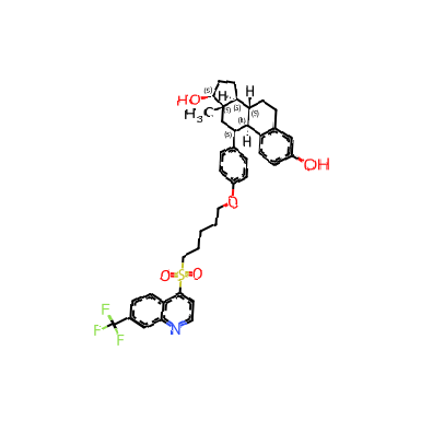 C[C@]12C[C@H](c3ccc(OCCCCCS(=O)(=O)c4ccnc5cc(C(F)(F)F)ccc45)cc3)[C@@H]3c4ccc(O)cc4CC[C@H]3[C@@H]1CC[C@@H]2O